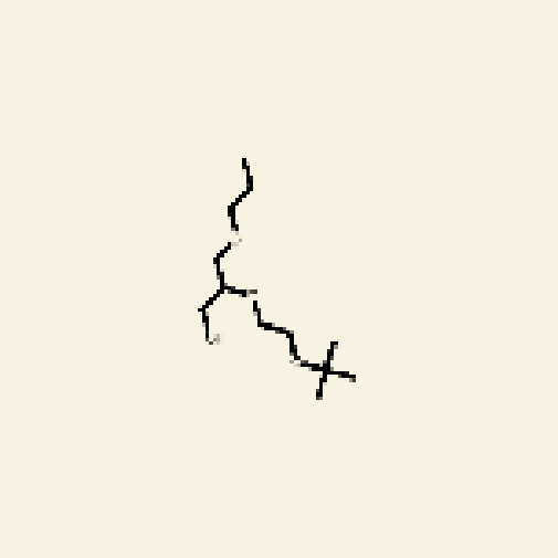 CCCOCC(CO)OCCOC(C)(C)C